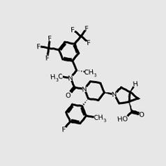 Cc1cc(F)ccc1[C@H]1C[C@H](N2C[C@@H]3C[C@]3(C(=O)O)C2)CCN1C(=O)N(C)[C@@H](C)c1cc(C(F)(F)F)cc(C(F)(F)F)c1